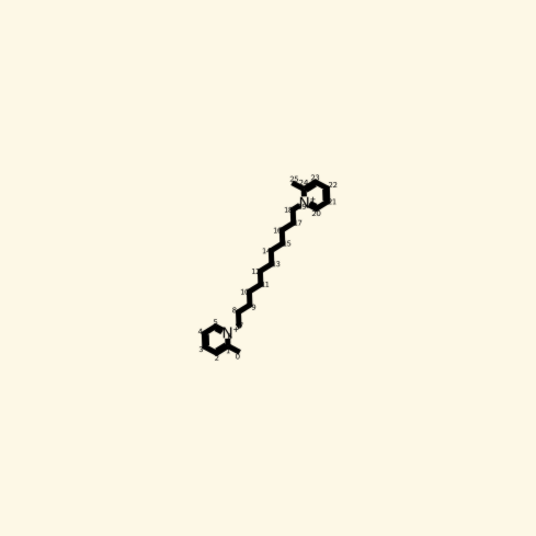 Cc1cccc[n+]1CCCCCCCCCCCC[n+]1ccccc1C